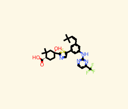 CC(C)(C)/C=C\c1cc(Nc2nccc(C(F)(F)F)n2)cc(-c2cnc([C@@]3(O)CC[C@H](C(=O)O)C(C)(C)C3)s2)c1